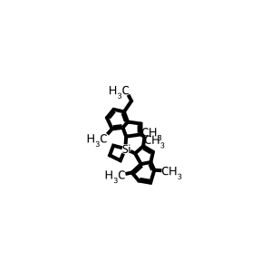 CCc1ccc(C)c2c1C=C(C)C2[Si]1(C2C(C)=Cc3c(C)ccc(C)c32)CCC1